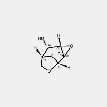 O[C@@H]1[C@@H]2O[C@H]2[C@@H]2OC[C@H]1O2